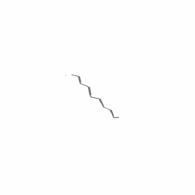 [CH2]/C=C/C=C/C=C/C=C/CCC